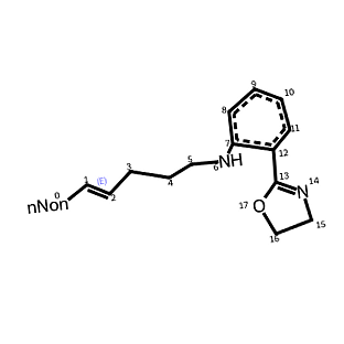 CCCCCCCCC/C=C/CCCNc1ccccc1C1=NCCO1